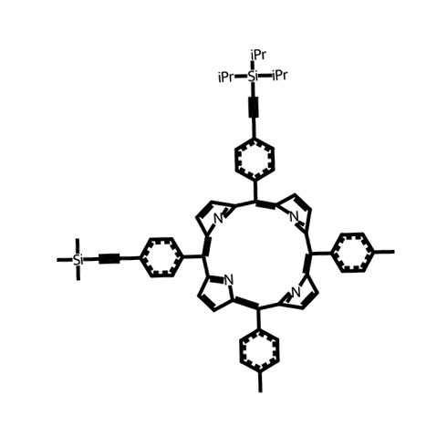 Cc1ccc(C2=C3C=CC(=N3)C(c3ccc(C#C[Si](C)(C)C)cc3)=C3C=CC(=N3)C(c3ccc(C#C[Si](C(C)C)(C(C)C)C(C)C)cc3)=C3C=CC(=N3)C(c3ccc(C)cc3)=C3C=CC2=N3)cc1